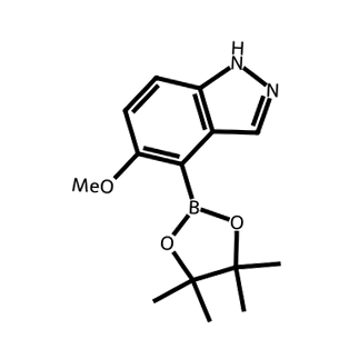 COc1ccc2[nH]ncc2c1B1OC(C)(C)C(C)(C)O1